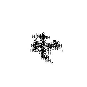 C=Nc1c(N(C)[C@@H]2O[C@H](COP(=O)(O)OC3C(OC)[C@H](n4cnc5c(N)ncnc54)O[C@@H]3COP(=O)(O)OP(=O)(O)OP(=O)(O)OC[C@H]3O[C@@H](N(C)c4nc(N)[nH]c(=O)c4NC)C(O)C3OC)C(O)C2O)nc(N)[nH]c1=O